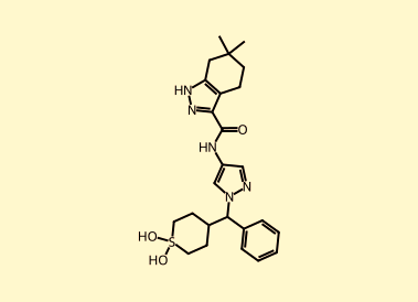 CC1(C)CCc2c(C(=O)Nc3cnn(C(c4ccccc4)C4CCS(O)(O)CC4)c3)n[nH]c2C1